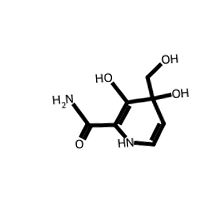 NC(=O)C1=C(O)C(O)(CO)C=CN1